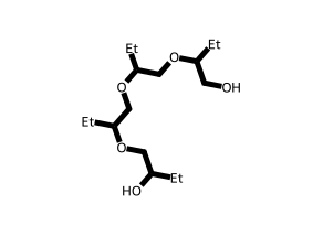 CCC(O)COC(CC)COC(CC)COC(CC)CO